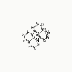 c1ccc2ncccc2c1.c1ccc2nnccc2c1